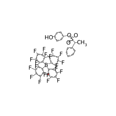 CC(c1ccccc1)S(=O)(=O)Oc1ccc(O)cc1.Fc1c(F)c(F)c([B-](c2c(F)c(F)c(F)c(F)c2F)(c2c(F)c(F)c(F)c(F)c2F)c2c(F)c(F)c(F)c(F)c2F)c(F)c1F